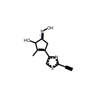 C#Cc1nc(C2=C(C)C(O)/C(=N/O)C2)cs1